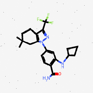 CC1(C)CCc2c(C(F)(F)F)nn(-c3ccc(C(N)=O)c(NC4CCC4)c3)c2C1